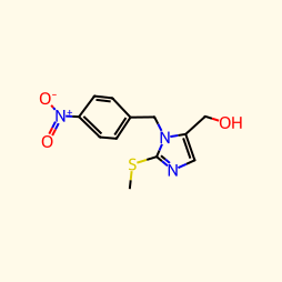 CSc1ncc(CO)n1Cc1ccc([N+](=O)[O-])cc1